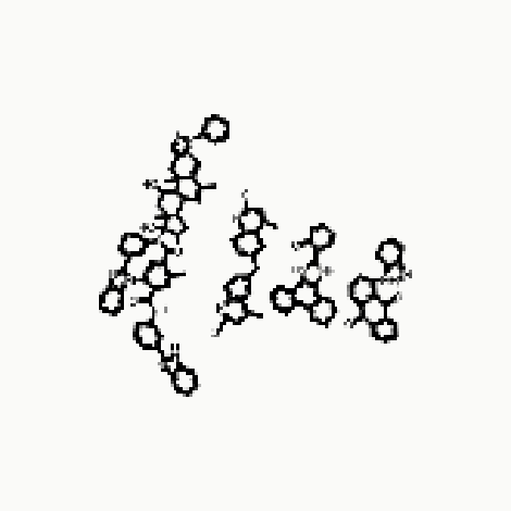 CC1=CC2C(C(O)CC3(C)C2CC(C)C3(O)N(C(=O)c2ccc(C(=O)Nc3cccc(-c4nc5ccccc5[nH]4)c3)cc2C)c2cccc(-c3nc4ccccc4[nH]3)c2)C2(C)Cc3cnn(-c4ccccc4)c3C=C12.Cc1cc(Cl)nc2ccc(Cc3ccc4nc(Cl)cc(C)c4c3)cc12.O=C1C=CC=CC1=C1Nc2c(c3ccccc3c3ccccc23)N1.O=C1c2ccccc2C(=O)c2c1cccc2-n1nnc2ccccc21